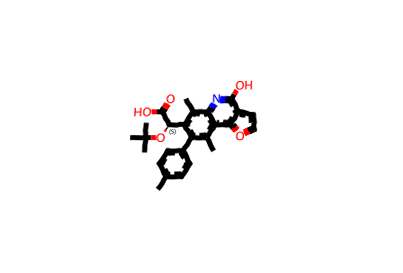 Cc1ccc(-c2c([C@H](OC(C)(C)C)C(=O)O)c(C)c3nc(O)c4ccoc4c3c2C)cc1